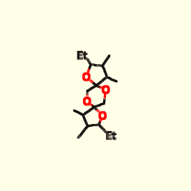 CCC1OC2(COC3(CO2)OC(CC)C(C)C3C)C(C)C1C